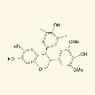 CCCc1cc2c(cc1O)OCC(c1cc(OC)c(O)c(OC)c1)C2c1cc(C)c(O)c(C)c1